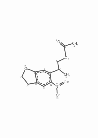 CC(=O)OCC(C)c1cc2c(cc1[N+](=O)[O-])CCO2